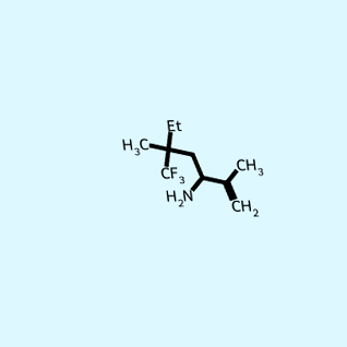 C=C(C)C(N)CC(C)(CC)C(F)(F)F